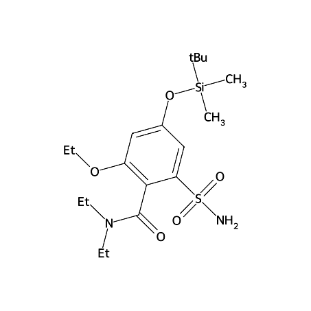 CCOc1cc(O[Si](C)(C)C(C)(C)C)cc(S(N)(=O)=O)c1C(=O)N(CC)CC